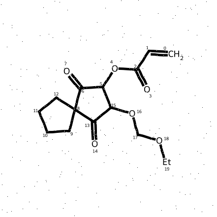 C=CC(=O)OC1C(=O)C2(CCCC2)C(=O)C1OCOCC